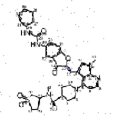 CN(C(=O)C1CCN(c2ccnc3c2c(/C=C2\Oc4ccc(NC(=O)Nc5cccnc5)cc4C2=O)cn3C)CC1)C1CCS(=O)(=O)C1